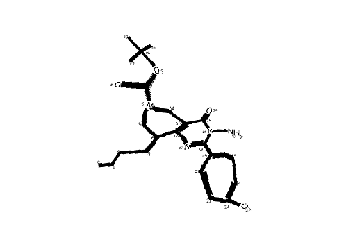 CCCCC1CN(C(=O)OC(C)(C)C)Cc2c1nc(-c1ccc(Cl)cc1)n(N)c2=O